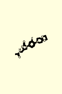 CC(=O)NCC1CN(c2ccc(N3CCC4(CC3)OCCO4)c(F)c2)C(=O)O1